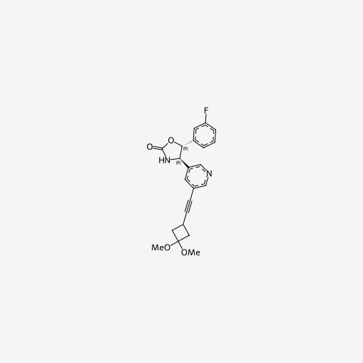 COC1(OC)CC(C#Cc2cncc([C@H]3NC(=O)O[C@@H]3c3cccc(F)c3)c2)C1